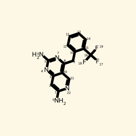 Nc1cc2nc(N)nc(Cc3ccccc3C(F)(F)F)c2cn1